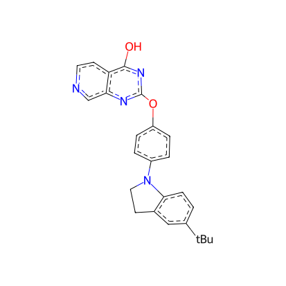 CC(C)(C)c1ccc2c(c1)CCN2c1ccc(Oc2nc(O)c3ccncc3n2)cc1